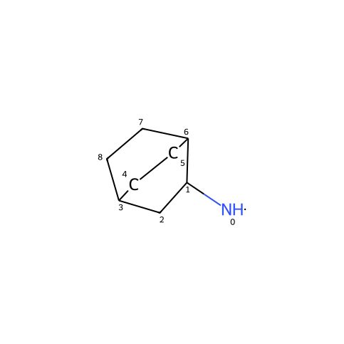 [NH]C1CC2CCC1CC2